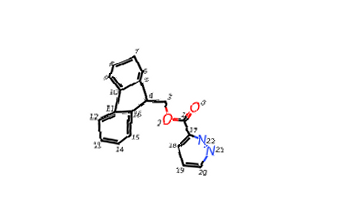 O=C(OCC1c2ccccc2-c2ccccc21)c1cccnn1